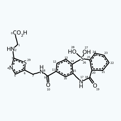 O=C(O)CNc1ncc(CNC(=O)c2ccc3c(c2)NC(=O)c2ccccc2S3(O)O)s1